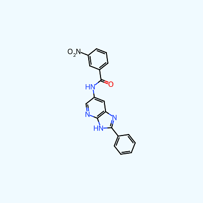 O=C(Nc1cnc2[nH]c(-c3ccccc3)nc2c1)c1cccc([N+](=O)[O-])c1